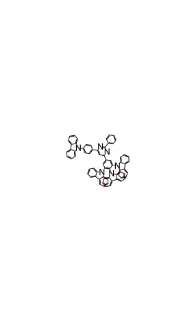 c1ccc(-c2nc(-c3ccc(-n4c5ccccc5c5ccccc54)cc3)cc(-c3cc(-n4c5ccccc5c5ccccc54)c(-n4c5ccccc5c5ccccc54)c(-n4c5ccccc5c5ccccc54)c3)n2)cc1